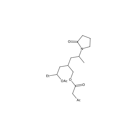 CCC(CC(COC(=O)CC(C)=O)CC(C)N1CCCC1=O)OC(C)=O